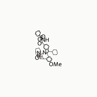 COc1ccc2c(c1)C1CC1(C(=O)N1C3CCC1CN(C)C3)Cn1c-2c(C2CCCCC2)c2ccc(C(=O)NS(=O)(=O)c3ccccc3)cc21